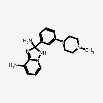 CN1CCN(c2cccc(C3(N)N=C4C(N)=CC=CN4N3)c2)CC1